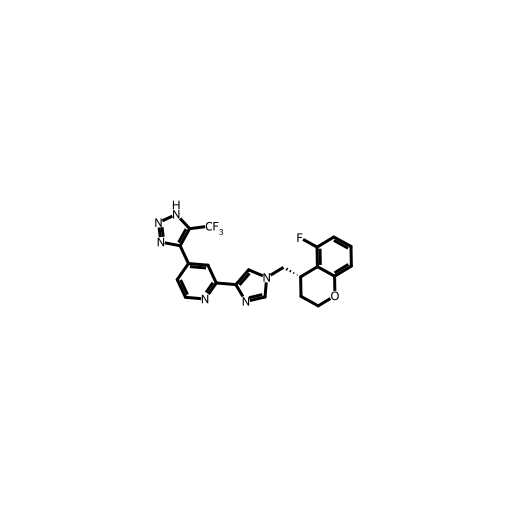 Fc1cccc2c1[C@@H](Cn1cnc(-c3cc(-c4nn[nH]c4C(F)(F)F)ccn3)c1)CCO2